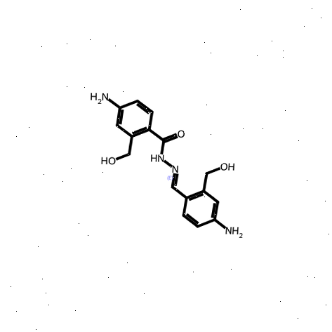 Nc1ccc(/C=N/NC(=O)c2ccc(N)cc2CO)c(CO)c1